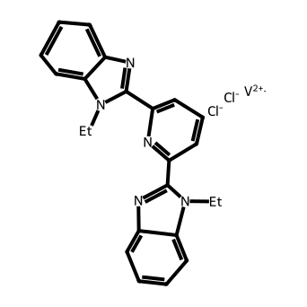 CCn1c(-c2cccc(-c3nc4ccccc4n3CC)n2)nc2ccccc21.[Cl-].[Cl-].[V+2]